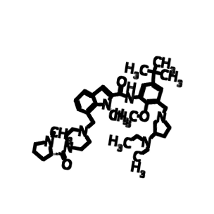 CCN(CC)C1CCN(Cc2cc(C(C)(C)C)cc(NC(=O)c3cc4cccc(CN5CCN(C(=O)[C@@H]6CCCN6C)CC5)c4n3C)c2OC)C1